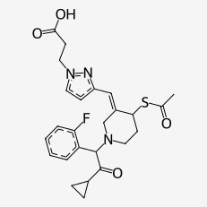 CC(=O)SC1CCN(C(C(=O)C2CC2)c2ccccc2F)C/C1=C\c1ccn(CCC(=O)O)n1